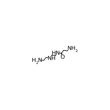 NCCNCCNC(=O)CCN